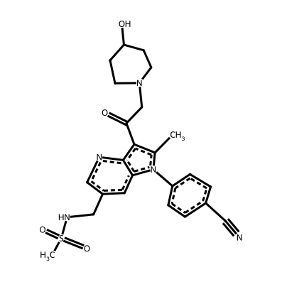 Cc1c(C(=O)CN2CCC(O)CC2)c2ncc(CNS(C)(=O)=O)cc2n1-c1ccc(C#N)cc1